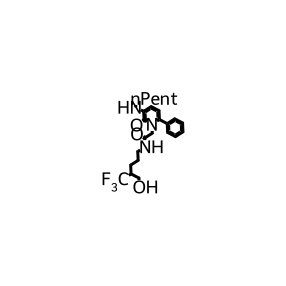 CCCCCNc1ccc(-c2ccccc2)n(CC(=O)NCCCC(CO)C(F)(F)F)c1=O